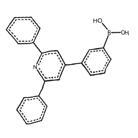 OB(O)c1cccc(-c2cc(-c3ccccc3)nc(-c3ccccc3)c2)c1